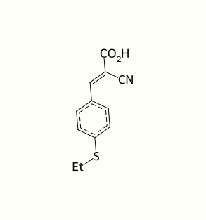 CCSc1ccc(/C=C(\C#N)C(=O)O)cc1